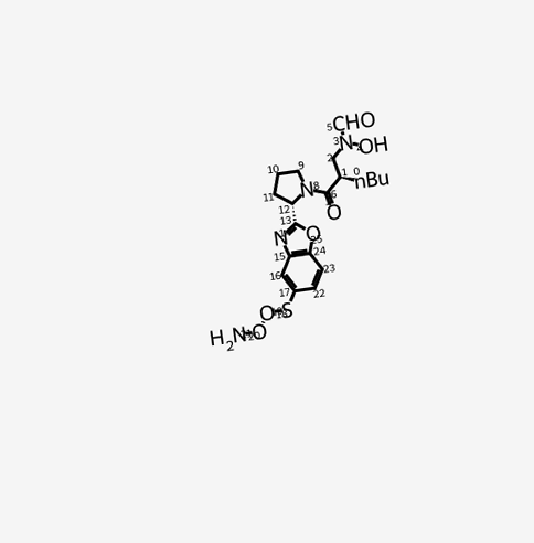 CCCC[C@H](CN(O)C=O)C(=O)N1CCC[C@H]1c1nc2cc(SOON)ccc2o1